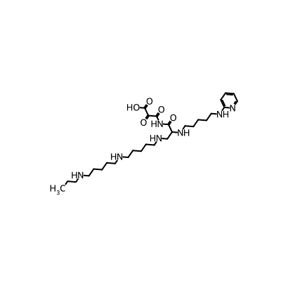 CCCNCCCCCNCCCCCNCC(NCCCCCNc1ccccn1)C(=O)NC(=O)C(=O)C(=O)O